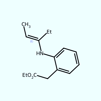 C/C=C(\CC)Nc1ccccc1CC(=O)OCC